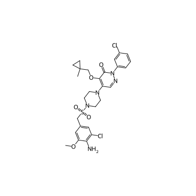 COc1cc(CS(=O)(=O)N2CCN(c3cnn(-c4cccc(Cl)c4)c(=O)c3OCC3(C)CC3)CC2)cc(Cl)c1N